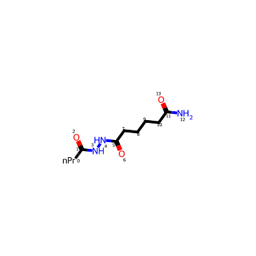 CCCC(=O)NNC(=O)CCCCC(N)=O